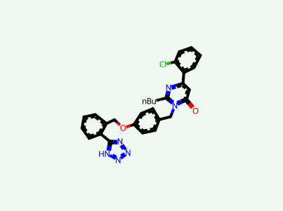 CCCCc1nc(-c2ccccc2Cl)cc(=O)n1Cc1ccc(OCc2ccccc2-c2nnn[nH]2)cc1